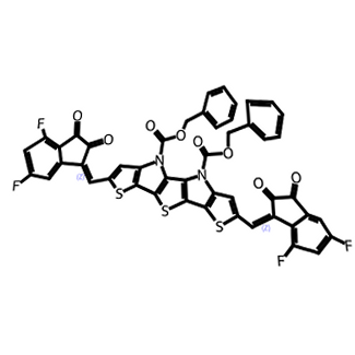 O=C1C(=O)c2c(F)cc(F)cc2/C1=C/c1cc2c(s1)c1sc3c4sc(/C=C5\C(=O)C(=O)c6cc(F)cc(F)c65)cc4n(C(=O)OCc4ccccc4)c3c1n2C(=O)OCc1ccccc1